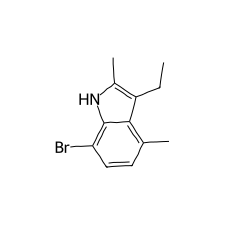 CCc1c(C)[nH]c2c(Br)ccc(C)c12